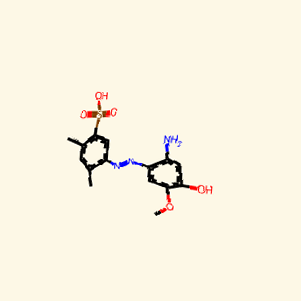 COc1cc(N=Nc2cc(S(=O)(=O)O)c(C)cc2C)c(N)cc1O